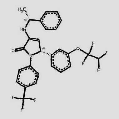 C[C@@H](NC1=C[C@H](c2cccc(OC(F)(F)C(F)F)c2)N(c2ccc(C(F)(F)F)cc2)C1=O)c1ccccc1